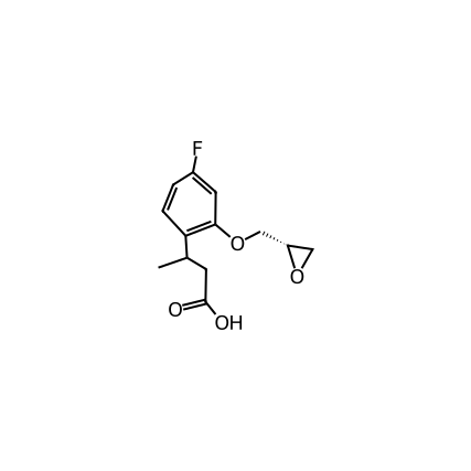 CC(CC(=O)O)c1ccc(F)cc1OC[C@@H]1CO1